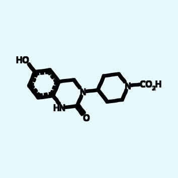 O=C(O)N1CCC(N2Cc3cc(O)ccc3NC2=O)CC1